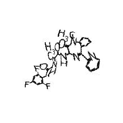 C[C@H](NC(=O)Cc1c(F)cc(F)cc1F)C(=O)NC1N=C(c2ccccn2)c2ccccc2N(C)C1=O